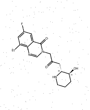 CCc1cc(F)cc2c(=O)n(CC(=O)C[C@H]3NCCC[C@@H]3O)cnc12